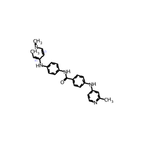 C=N/C=C\C(=C/C)Nc1ccc(NC(=O)c2ccc(Nc3ccnc(C)c3)cc2)cc1